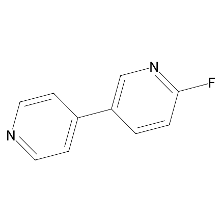 Fc1ccc(-c2ccncc2)cn1